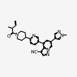 C=CC(C)C(=O)N1CCC(c2ccc(-c3cc(-c4cnn(C)c4)cn4ncc(C#N)c34)cn2)CC1